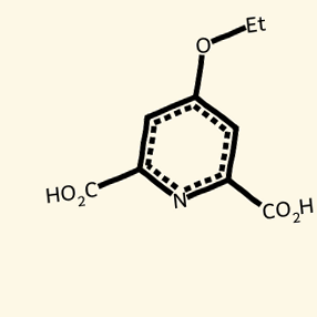 CCOc1cc(C(=O)O)nc(C(=O)O)c1